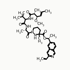 C=Cc1cc2cc([C@@H](C)OC(=O)C3(C)CCCN(C(=O)[C@H](C)NC(=O)C(NC(=O)[C@H](C)[C@@H](/C=C/C)OC)C(C)C)N3)ccc2cn1